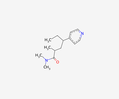 CCC(CC(C)C(=O)N(C)C)c1ccncc1